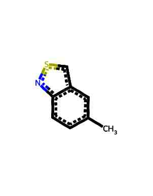 Cc1ccc2nscc2c1